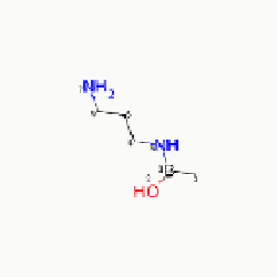 CB(O)NCCCN